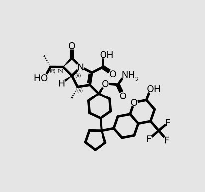 C[C@@H](O)[C@H]1C(=O)N2C(C(=O)O)=C(C3(OC(N)=O)CCC(C4(C5CCC6C(C5)OC(O)CC6C(F)(F)F)CCCC4)CC3)[C@H](C)[C@H]12